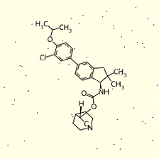 CC(C)Oc1ccc(-c2ccc3c(c2)CC(C)(C)[C@H]3NC(=O)O[C@@H]2CN3CCC2CC3)cc1Cl